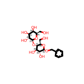 OC[C@H]1O[C@@H](O[C@H]2[C@H](O)[C@@H](O)[C@H](OCc3ccccc3)O[C@@H]2CO)[C@H](O)[C@@H](O)[C@H]1O